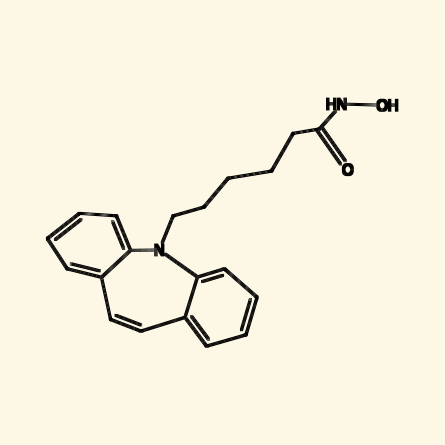 O=C(CCCCCN1c2ccccc2C=Cc2ccccc21)NO